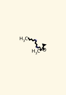 CCCCC/C=C\CC/C=C\CN(CC)C(=O)C1CC1